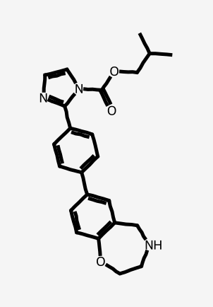 CC(C)COC(=O)n1ccnc1-c1ccc(-c2ccc3c(c2)CNCCO3)cc1